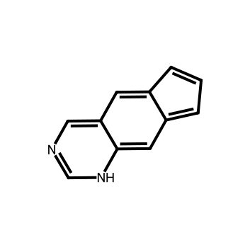 c1cc2cc3cnc[nH]c3cc2c1